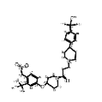 O=C(CCN1CCC(c2ccc(C(F)(F)F)cc2)CC1)N1CCC(Oc2ccc(C[N+](=O)[O-])c(C(F)(F)F)c2)CC1